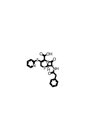 O=C(Cc1ccccc1)N[C@@H]1C(=O)N2C(C(=O)O)=C(Sc3ccccn3)CS[C@H]12